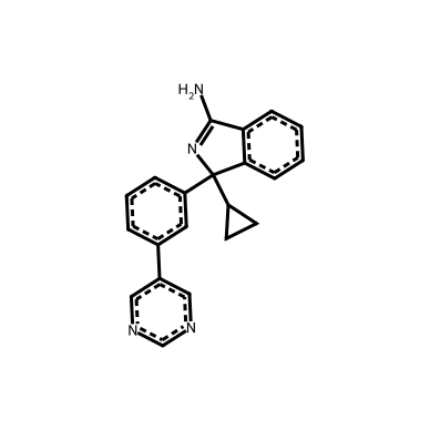 NC1=NC(c2cccc(-c3cncnc3)c2)(C2CC2)c2ccccc21